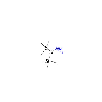 C[Si](C)(C)[Bi]([NH2])[Si](C)(C)C